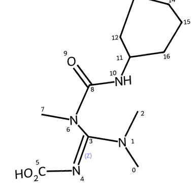 CN(C)/C(=N/C(=O)O)N(C)C(=O)NC1CCCCC1